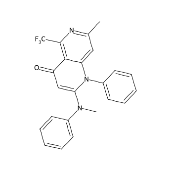 Cc1cc2c(c(C(F)(F)F)n1)c(=O)cc(N(C)c1ccccc1)n2-c1ccccc1